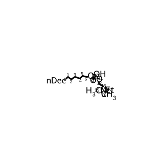 CCCCCCCCCCCCCCCCOP(=O)(O)OCC[N+](C)(C)CC